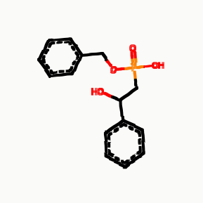 O=P(O)(CC(O)c1ccccc1)OCc1ccccc1